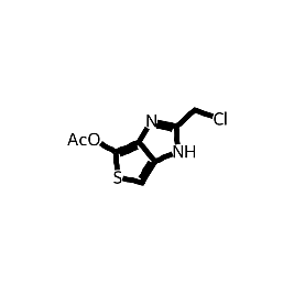 CC(=O)Oc1scc2[nH]c(CCl)nc12